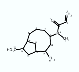 C=CC(=O)N(C)C1CCCC2CC(CC2C(=O)O)C(C)C1